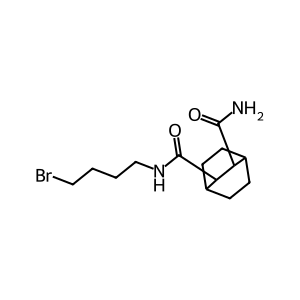 NC(=O)C1C2CCC(CC2)C1C(=O)NCCCCBr